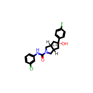 O=C(Nc1cccc(Cl)c1)N1C[C@@H]2C[C@@](O)(c3ccc(F)cc3)C[C@@H]2C1